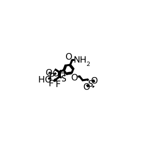 Cc1c(C(F)(F)P(=O)(O)O)sc2c(OCCCS(C)(=O)=O)cc(C(N)=O)cc12